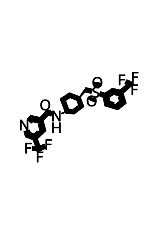 O=C(N[C@H]1CC[C@H](CS(=O)(=O)c2cccc(C(F)(F)F)c2)CC1)c1cncc(C(F)(F)F)c1